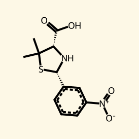 CC1(C)S[C@@H](c2cccc([N+](=O)[O-])c2)N[C@H]1C(=O)O